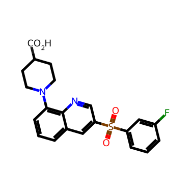 O=C(O)C1CCN(c2cccc3cc(S(=O)(=O)c4cccc(F)c4)cnc23)CC1